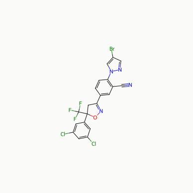 N#Cc1cc(C2=NOC(c3cc(Cl)cc(Cl)c3)(C(F)(F)F)C2)ccc1-n1cc(Br)cn1